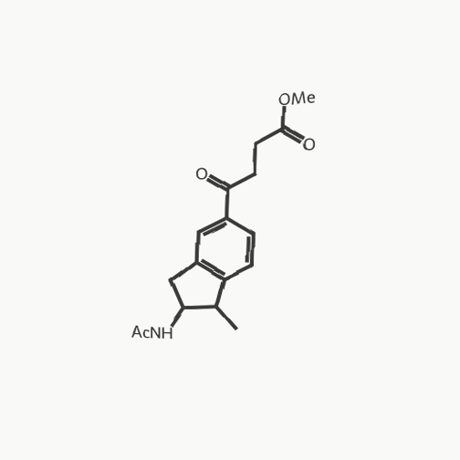 COC(=O)CCC(=O)c1ccc2c(c1)CC(NC(C)=O)C2C